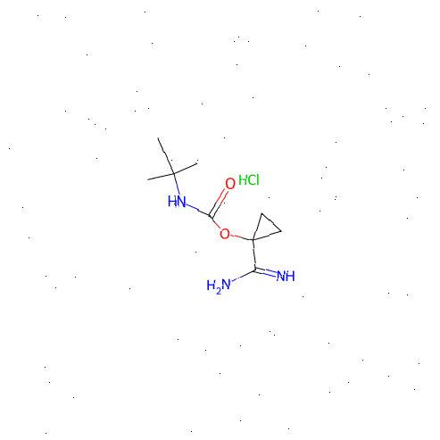 CC(C)(C)NC(=O)OC1(C(=N)N)CC1.Cl